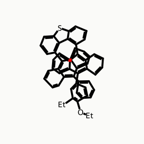 CCOc1ccc(-c2c3ccccc3c(-c3cccc4sc5cccc(-c6c7ccccc7c(-c7ccccc7)c7ccccc67)c5c34)c3ccccc23)cc1CC